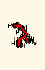 CC(C)(CCC(=O)NC(CSC1CCC1SCC(N)C(=O)NCCC(=O)OCC(=O)Nc1ccn([C@@H]2O[C@H](COP(=O)(O)O)[C@@H](O)C2(F)F)c(=O)n1)C(=O)NCCC(=O)OCC(=O)Nc1ccn([C@@H]2O[C@H](COP(=O)(O)O)[C@@H](O)C2(F)F)c(=O)n1)OCC(C)(N)C(=O)C(C)(C)C